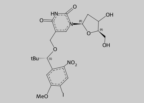 COc1cc([C@@H](OCc2cn([C@H]3CC(O)[C@@H](CO)O3)c(=O)[nH]c2=O)C(C)(C)C)c([N+](=O)[O-])cc1I